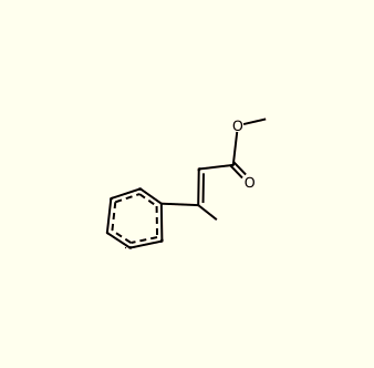 COC(=O)C=C(C)c1c[c]ccc1